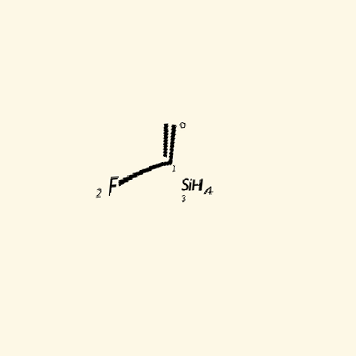 C=CF.[SiH4]